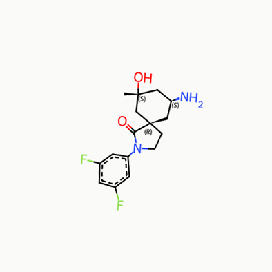 C[C@@]1(O)C[C@@H](N)C[C@]2(CCN(c3cc(F)cc(F)c3)C2=O)C1